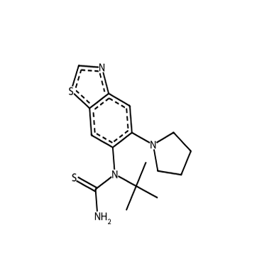 CC(C)(C)N(C(N)=S)c1cc2scnc2cc1N1CCCC1